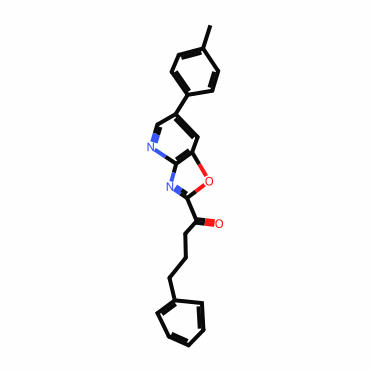 Cc1ccc(-c2cnc3nc(C(=O)CCCc4ccccc4)oc3c2)cc1